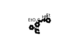 C#C/C=C\C(=C/C)N(c1ccccc1)c1ccc(/C(=C/CC(C)(C)c2ccccc2NCC)C(=O)OCC)cc1